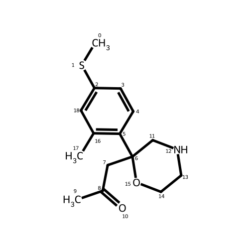 CSc1ccc(C2(CC(C)=O)CNCCO2)c(C)c1